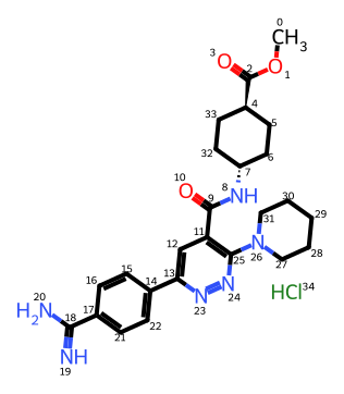 COC(=O)[C@H]1CC[C@H](NC(=O)c2cc(-c3ccc(C(=N)N)cc3)nnc2N2CCCCC2)CC1.Cl